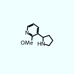 COc1ncccc1C1CCCN1